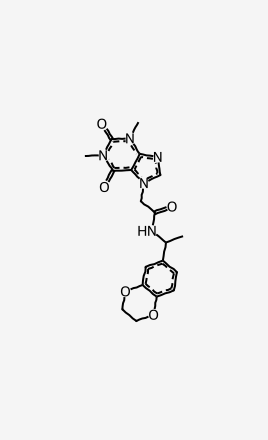 CC(NC(=O)Cn1cnc2c1c(=O)n(C)c(=O)n2C)c1ccc2c(c1)OCCO2